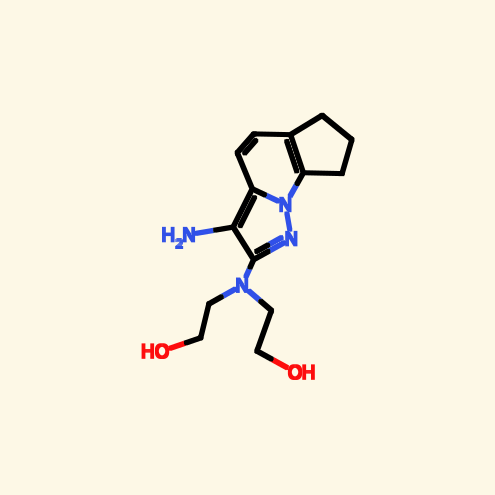 Nc1c(N(CCO)CCO)nn2c3c(ccc12)CCC3